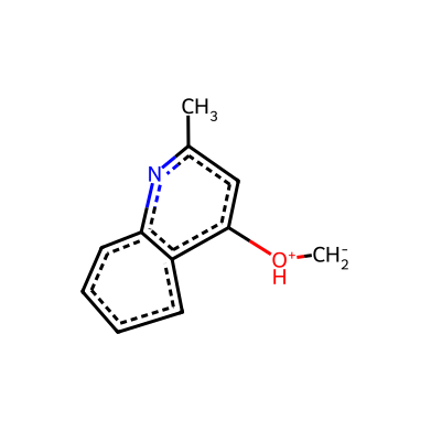 [CH2-][OH+]c1cc(C)nc2ccccc12